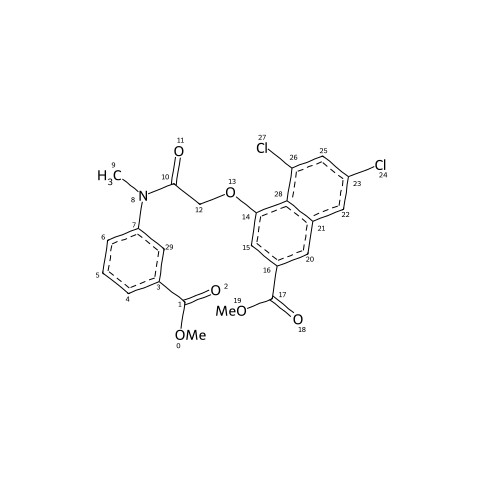 COC(=O)c1cccc(N(C)C(=O)COc2cc(C(=O)OC)cc3cc(Cl)cc(Cl)c23)c1